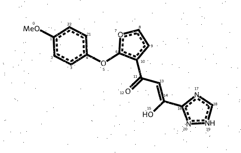 COc1ccc(Oc2occc2C(=O)C=C(O)c2nc[nH]n2)cc1